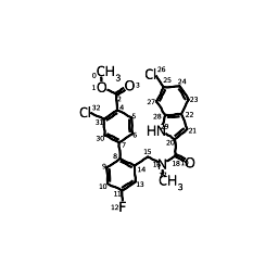 COC(=O)c1ccc(-c2ccc(F)cc2CN(C)C(=O)c2cc3ccc(Cl)cc3[nH]2)cc1Cl